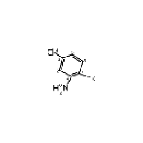 Nc1cc(Cl)ccc1I